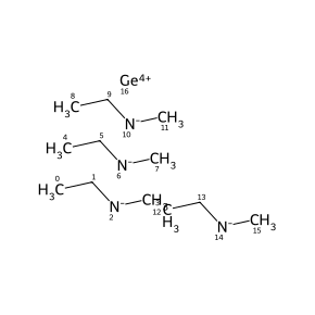 CC[N-]C.CC[N-]C.CC[N-]C.CC[N-]C.[Ge+4]